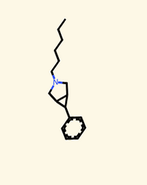 CCCCCCN1CC2C(C1)C2c1ccccc1